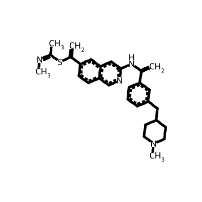 C=C(Nc1cc2cc(C(=C)S/C(C)=N\C)ccc2cn1)c1cccc(CC2CCN(C)CC2)c1